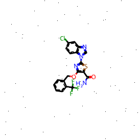 NC(=O)c1sc(-n2cnc3cc(Cl)ccc32)nc1OCc1ccccc1C(F)(F)F